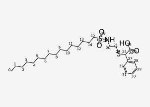 CCCCCCCCCCCCCCCCS(=O)(=O)NCCSC(C(=O)O)c1ccccc1